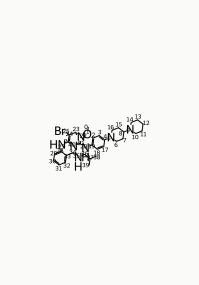 COc1cc(N2CCC(N3CCCCC3)CC2)ccc1Nc1ncc(Br)c(Nc2ccccc2CNCC(C)C)n1